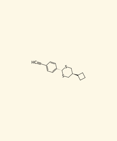 C#Cc1ccc([C@H]2SC[C@H](C3CCC3)CS2)cc1